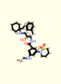 CCNc1cc(C(=O)N[C@@H](Cc2ccccc2)[C@H](O)CNC2(CC)CCCCC2)cc(N2CCCCS2(=O)=O)c1